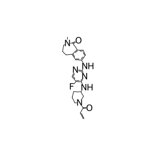 C=CC(=O)N1CCCC(Nc2nc(Nc3ccc4c(c3)CCCN(C)C4=O)ncc2F)C1